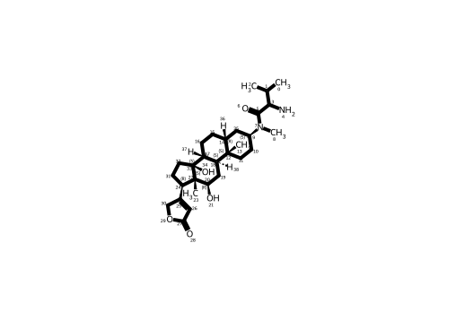 CC(C)C(N)C(=O)N(C)[C@H]1CC[C@@]2(C)[C@H](CC[C@@H]3[C@@H]2C[C@@H](O)[C@]2(C)[C@@H](C4=CC(=O)OC4)CC[C@]32O)C1